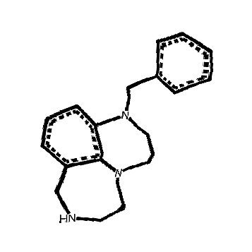 c1ccc(CN2CCN3CCNCc4cccc2c43)cc1